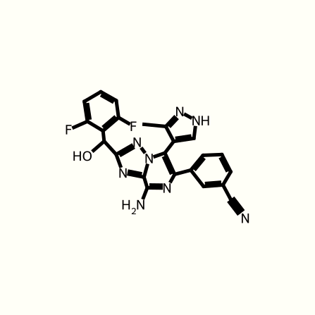 Cc1n[nH]cc1-c1c(-c2cccc(C#N)c2)nc(N)c2nc(C(O)c3c(F)cccc3F)nn12